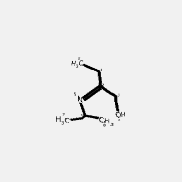 CCC(CO)=NC(C)C